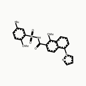 COc1ccc(C(C)(C)C)cc1S(=O)(=O)NC(=O)c1ccc2c(-n3cccn3)cccc2c1OC